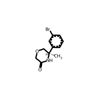 C[C@@]1(c2cccc(Br)c2)COCC(=O)N1